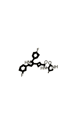 C[C@@H]1CNC(=O)[C@@H]1NC(=O)C1CC(c2cc(-c3cccc(F)c3)[nH]c2-c2ccc(F)cc2)C1